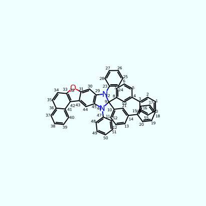 c1ccc(-c2cccc(C3(c4cccc(-c5ccccc5)c4)N(c4ccccc4)c4cc5oc6ccc7ccccc7c6c5cc4N3c3ccccc3)c2)cc1